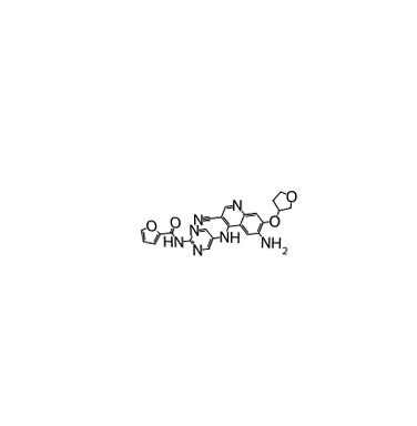 N#Cc1cnc2cc(OC3CCOC3)c(N)cc2c1Nc1cnc(NC(=O)c2ccco2)nc1